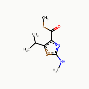 CNc1nc(C(=O)SC)c(C(C)C)s1